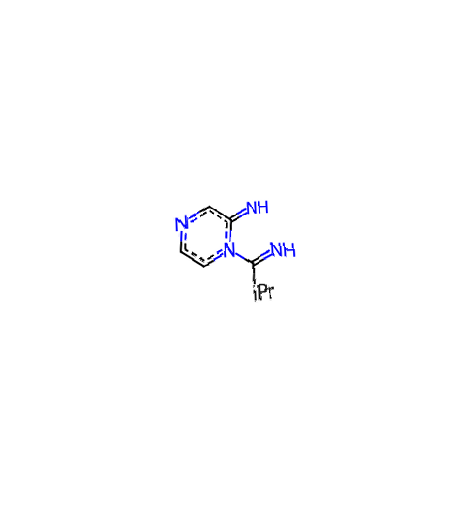 CC(C)C(=N)n1ccncc1=N